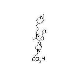 CC1C(N2CCN(CCC(=O)O)CC2)OC(=O)N1CCCC1CCN(C)CC1